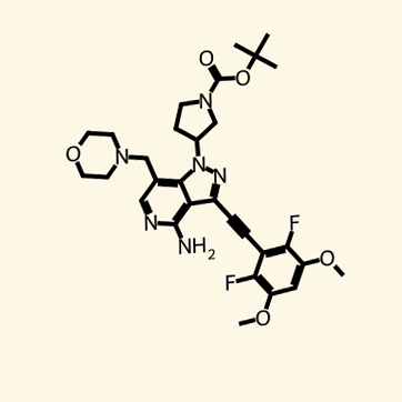 COc1cc(OC)c(F)c(C#Cc2nn(C3CCN(C(=O)OC(C)(C)C)C3)c3c(CN4CCOCC4)cnc(N)c23)c1F